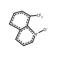 [O-][n+]1cccc2cccc(C(F)(F)F)c21